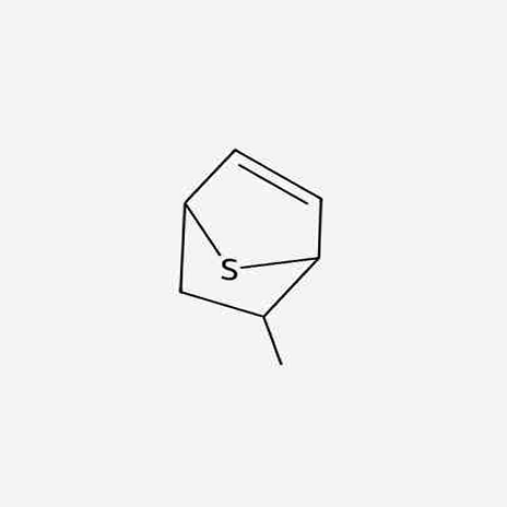 CC1CC2C=CC1S2